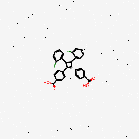 O=C(O)c1ccc(C2C(c3ccccc3F)C(c3ccccc3F)[C@@H]2c2ccc(C(=O)O)cc2)cc1